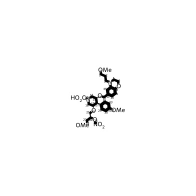 COCCCN1CCOc2ccc(CO[C@H]3CN(C(=O)O)C[C@@H](OC[C@H](COC)O[N+](=O)[O-])[C@@H]3c3ccc(OC)cc3)cc21